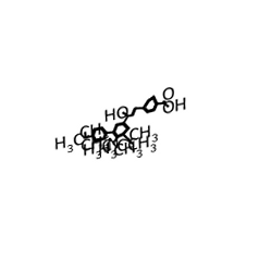 CN(C)c1c(-c2ccc(C(C)(C)C)cc2)cc(C(O)C=Cc2ccc(C(=O)O)cc2)cc1C(C)(C)C